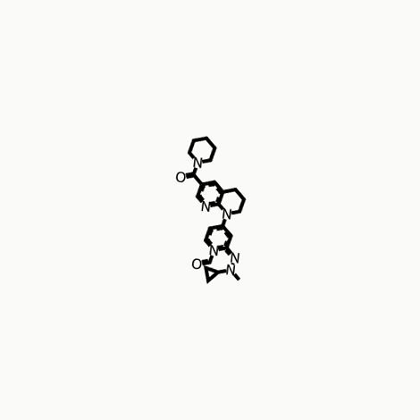 CN(/N=c1/cc(N2CCCc3cc(C(=O)N4CCCCC4)cnc32)ccn1C=O)C1CC1